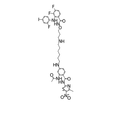 CC(=O)Nc1cc(NCCCCCCNCCCONC(=O)c2ccc(F)c(F)c2Nc2ccc(I)cc2F)ccc1C(=O)Nc1nc(C)c([N+](=O)[O-])s1